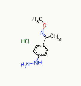 CON=C(C)c1ccc(NN)cc1.Cl